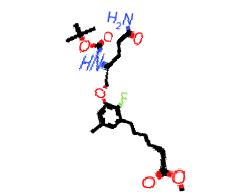 COC(=O)CCCCCc1cc(C)cc(OC[C@H](CCC(N)=O)NC(=O)OC(C)(C)C)c1F